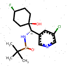 CC(C)(C)[S+]([O-])N[C@@H](c1cncc(Cl)c1)[C@]1(O)CC[C@@H](F)CC1